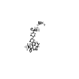 NCCCCNC(=O)c1ccc(-c2ccc(Nc3c(C(N)=O)cnc4ccccc34)cc2)cc1